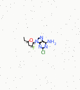 CC[C@@H]1C[C@H](F)[C@H](n2cnc3c(N)nc(Cl)nc32)O1